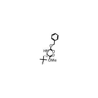 COC(=O)[C@H](CC(C)(C)F)NC(=O)OCc1ccccc1